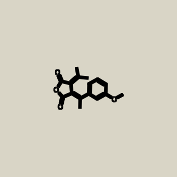 COc1cccc(/C(C)=C2/C(=O)OC(=O)C2=C(C)C)c1